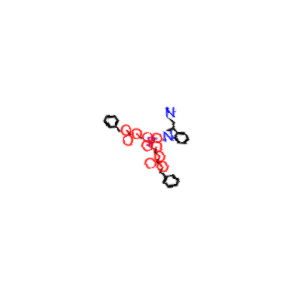 CN(C)CCc1cn(COP(=O)(OCOC(=O)OCc2ccccc2)OCOC(=O)OCc2ccccc2)c2ccccc12